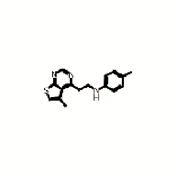 Cc1ccc(NCCc2ncnc3scc(C)c23)cc1